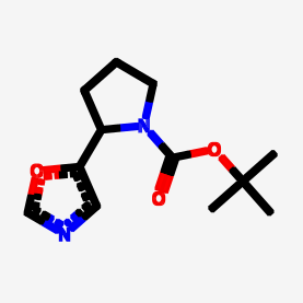 CC(C)(C)OC(=O)N1CCCC1c1cnco1